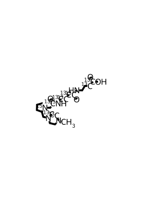 CN1CCN(CC2CCC[15N]2C[13C](=O)[15NH][13CH2][13CH2][13CH2][13C](=O)NCC[13CH2][13C](=O)O)[13CH2][13CH2]1